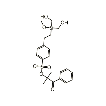 CO[Si](CO)(CO)CCc1ccc(S(=O)(=O)OC(C)(C)C(=O)c2ccccc2)cc1